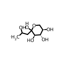 [CH2]C(O)CC1(O)OC[C@@H](O)[C@H](O)[C@H]1O